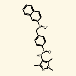 Cc1nn(C)c(C)c1N[S+]([O-])c1ccc(C[S+]([O-])c2ccc3ccccc3c2)cc1